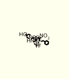 CC(C)C[C@H](NC(=O)N1CCC(O)CC1)C(=O)N[C@@H](CCc1ccccc1)C(=O)C[N+](=O)[O-]